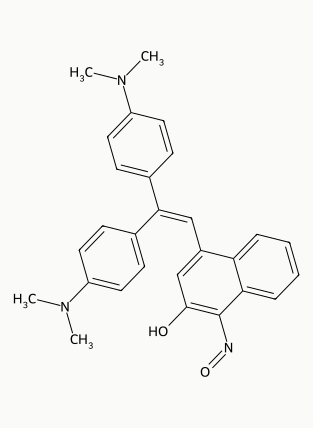 CN(C)c1ccc(C(=Cc2cc(O)c(N=O)c3ccccc23)c2ccc(N(C)C)cc2)cc1